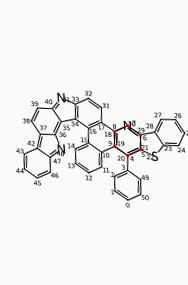 c1ccc(-c2ccccc2-c2ccccc2-c2c(-c3ccc4sc5ccccc5c4n3)ccc3c2-c2c4c(ccc2=N3)=c2ccccc2=N4)cc1